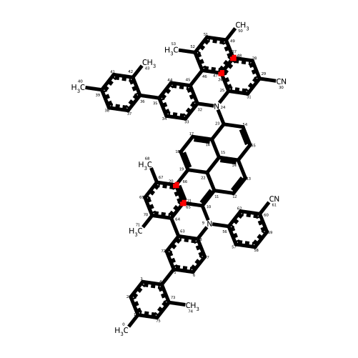 Cc1ccc(-c2ccc(N(C3=C4C=CC5=C6C(=CC=C(C=C3)C46)C(N(c3cccc(C#N)c3)c3ccc(-c4ccc(C)cc4C)cc3-c3ccc(C)cc3C)C=C5)c3cccc(C#N)c3)c(-c3ccc(C)cc3C)c2)c(C)c1